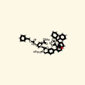 CCCCCN(Cc1ccc(-c2ccccc2-c2nnnn2C(c2ccccc2)(c2ccccc2)c2ccccc2)cc1)C(=O)N1C[C@@H](NC(=O)OCc2ccccc2)C[C@H]1C(=O)OC